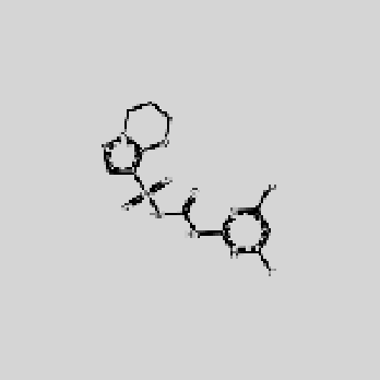 CC(C)c1cc(Cl)nc(NC(=O)NS(=O)(=O)c2cnn3c2OCCC3)n1